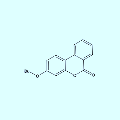 CCC(C)Oc1ccc2c(c1)oc(=O)c1ccccc12